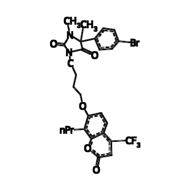 CCCc1c(OCCCCN2C(=O)N(C)C(C)(c3ccc(Br)cc3)C2=O)ccc2c(C(F)(F)F)cc(=O)oc12